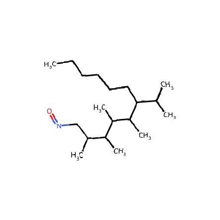 CCCCCCC(C(C)C)C(C)C(C)C(C)C(C)CN=O